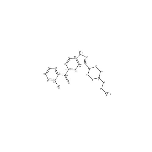 CCCN1CCC(c2c[nH]c3ccc(C(=O)c4ccccc4Br)cc23)CC1